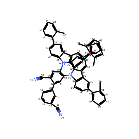 Cc1ccccc1-c1ccc2c(c1)c1cc(-c3ccccc3C)ccc1n2-c1cc(C#N)c(-c2cccc(C#N)c2)cc1-n1c2ccc(-c3ccccc3C)cc2c2cc(-c3ccccc3C)ccc21